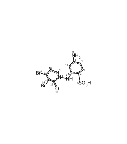 Nc1ccc(S(=O)(=O)O)c(Nn2ncc(Br)c(Br)c2=O)c1